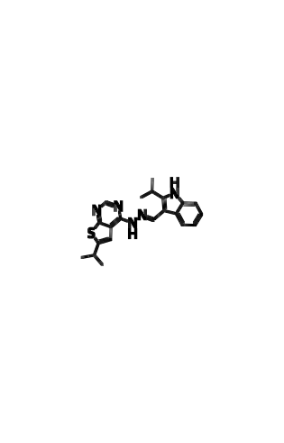 CC(C)c1cc2c(NN=Cc3c(C(C)C)[nH]c4ccccc34)ncnc2s1